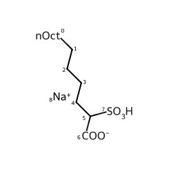 CCCCCCCCCCCCC(C(=O)[O-])S(=O)(=O)O.[Na+]